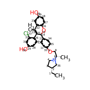 CC[C@@H]1CCN([C@@H](C)COc2ccc(C3Oc4ccc(O)cc4C(C)=C3c3ccc(O)cc3Cl)cc2)C1